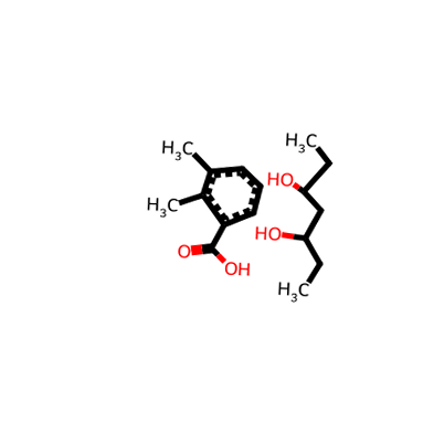 CCC(O)CC(O)CC.Cc1cccc(C(=O)O)c1C